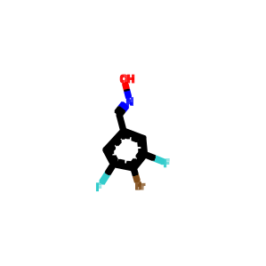 ON=Cc1cc(F)c(Br)c(F)c1